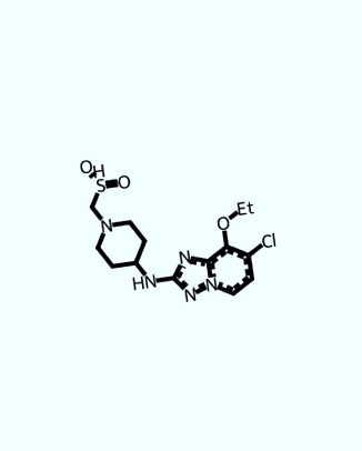 CCOc1c(Cl)ccn2nc(NC3CCN(C[SH](=O)=O)CC3)nc12